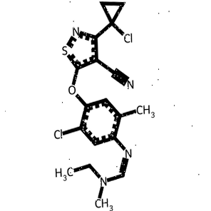 CCN(C)/C=N\c1cc(Cl)c(Oc2snc(C3(Cl)CC3)c2C#N)cc1C